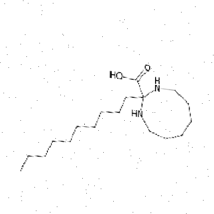 CCCCCCCCCCC1(C(=O)O)NCCCCCCN1